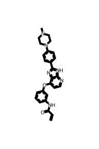 C=CC(=O)Nc1cccc(Oc2ccnc3[nH]c(-c4ccc(N5CCN(C)CC5)cc4)nc23)c1